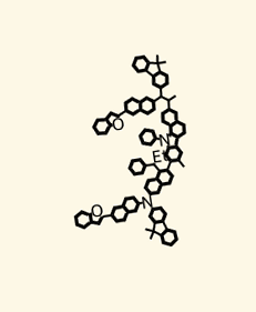 CCC(c1ccccc1)c1c(-c2cc3c(cc2C)c2ccc4cc(C(C)C(c5ccc6c(c5)-c5ccccc5C6(C)C)c5ccc6cc(-c7cc8ccccc8o7)ccc6c5)ccc4c2n3-c2ccccc2)ccc2cc(N(c3ccc4c(c3)C(C)(C)c3ccccc3-4)c3ccc4cc(-c5cc6ccccc6o5)ccc4c3)ccc12